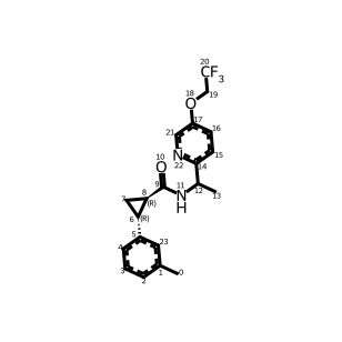 Cc1cccc([C@@H]2C[C@H]2C(=O)NC(C)c2ccc(OCC(F)(F)F)cn2)c1